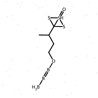 BB=BOCCC(C)C12S[SH]1(=O)S2